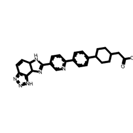 O=C(O)CC1CCC(c2ccc(-c3ccc(C4=NC5c6[nH]nnc6C=CC5N4)cn3)cc2)CC1